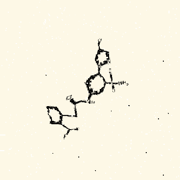 NS(=O)(=O)c1cc(NC(=O)Cc2ccccc2C(F)F)ccc1-n1cc(Cl)cn1